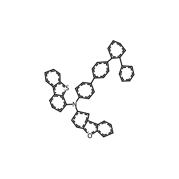 c1ccc(-c2ccccc2-c2ccc(-c3ccc(N(c4ccc5oc6ccccc6c5c4)c4cccc5c4sc4ccccc45)cc3)cc2)cc1